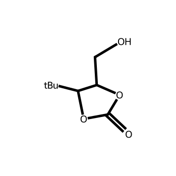 CC(C)(C)C1OC(=O)OC1CO